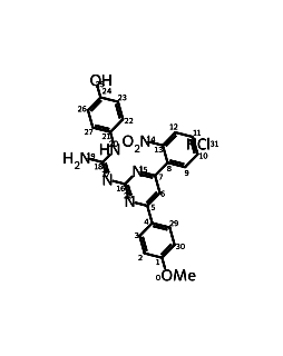 COc1ccc(-c2cc(-c3ccccc3[N+](=O)[O-])nc(N=C(N)Nc3ccc(O)cc3)n2)cc1.Cl